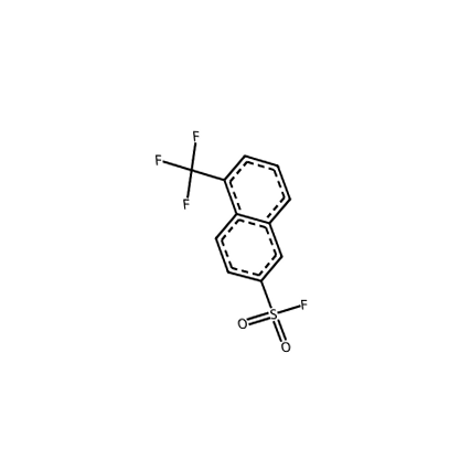 O=S(=O)(F)c1ccc2c(C(F)(F)F)cccc2c1